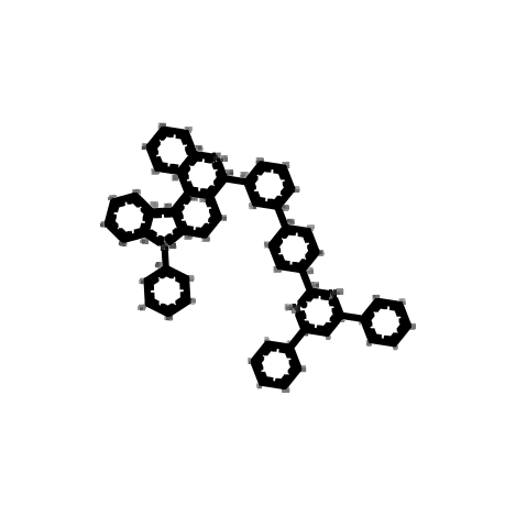 c1ccc(-c2cc(-c3ccccc3)nc(-c3ccc(-c4cccc(-c5nc6ccccc6c6c5ccc5c6c6ccccc6n5-c5ccccc5)c4)cc3)n2)cc1